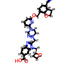 N#Cc1ccc(COc2cccc(N3C=NN(Cc4nc5ccc(C(=O)O)cc5n4C[C@@H]4CCO4)CC3)n2)c2c1CCO2